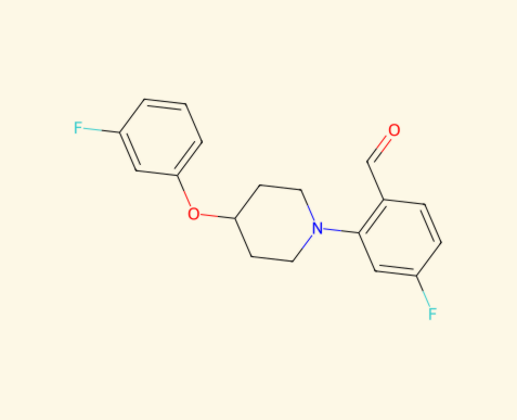 O=Cc1ccc(F)cc1N1CCC(Oc2cccc(F)c2)CC1